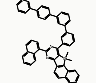 C[Si]1(C)c2c(-c3cccc(-c4cccc(-c5ccc(-c6ccccc6)cc5)c4)c3)nc(-c3cccc4ccccc34)nc2-c2ccc3ccccc3c21